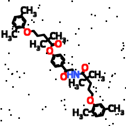 Cc1ccc(C)c(OCCCC(C)(C)C(=O)NCC(=O)c2ccc(OC(=O)C(C)(C)CCCOc3cc(C)ccc3C)cc2)c1